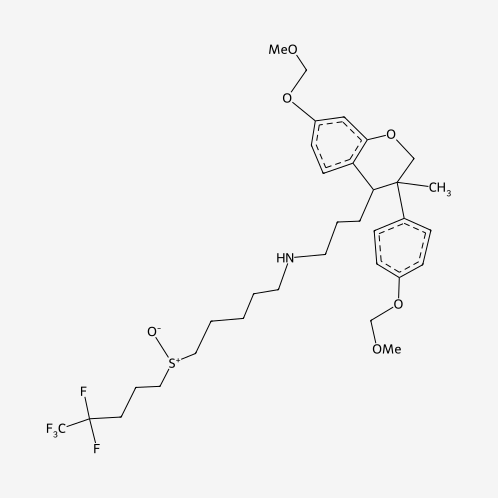 COCOc1ccc(C2(C)COc3cc(OCOC)ccc3C2CCCNCCCCC[S+]([O-])CCCC(F)(F)C(F)(F)F)cc1